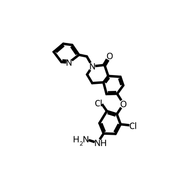 NNc1cc(Cl)c(Oc2ccc3c(c2)CCN(Cc2ccccn2)C3=O)c(Cl)c1